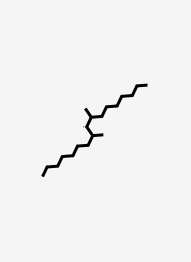 CCCCCCCC(C)[CH]C(C)CCCCCCC